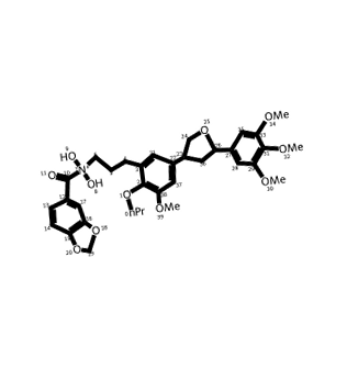 CCCOc1c(CCC[N+](O)(O)C(=O)c2ccc3c(c2)OCO3)cc(C2COC(c3cc(OC)c(OC)c(OC)c3)C2)cc1OC